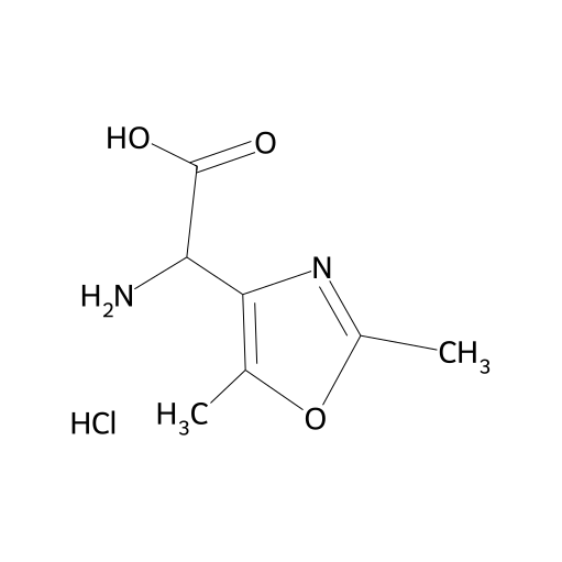 Cc1nc(C(N)C(=O)O)c(C)o1.Cl